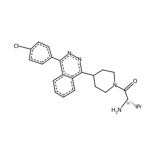 CC(C)[C@H](N)C(=O)N1CCC(c2nnc(-c3ccc(Cl)cc3)c3ccccc23)CC1